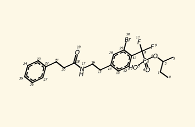 CCC(C)OP(=O)(O)C(F)(F)c1ccc(CCNC(=O)CCc2ccccc2)cc1Br